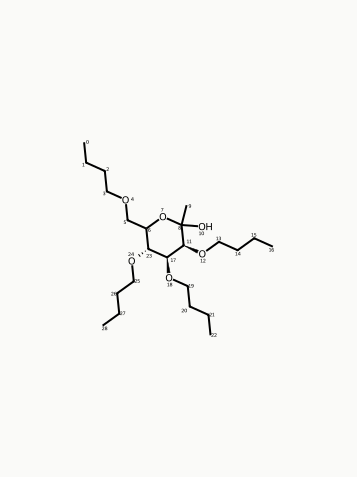 CCCCOCC1OC(C)(O)[C@@H](OCCCC)[C@@H](OCCCC)[C@@H]1OCCCC